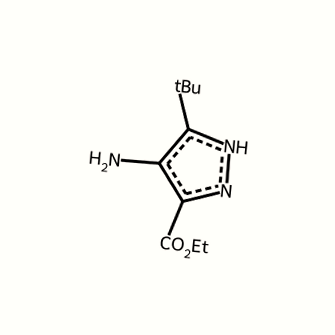 CCOC(=O)c1n[nH]c(C(C)(C)C)c1N